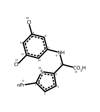 CCCc1ccc(C(Nc2cc(Cl)cc(Cl)c2)C(=O)O)s1